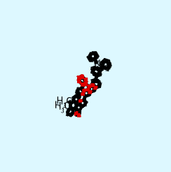 CC1(C)c2ccccc2C2(c3ccccc3-c3ccc(-c4ccc(N(c5cccc(-c6ccc7c(c6)c6ccccc6n7-c6ccccc6)c5)c5ccccc5-c5ccccc5-c5ccccc5-c5ccccc5)cc4)cc32)c2ccccc21